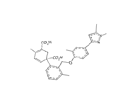 CC1=C(C(=O)O)CC(C(=O)O)(c2cccc(C)c2COc2ccc(-c3cc(C)n(C)n3)cc2C)C=C1